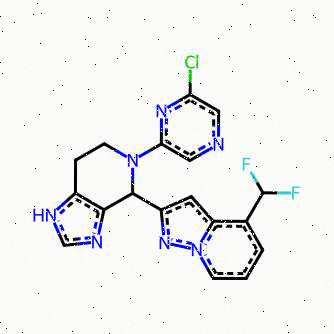 FC(F)c1cccn2nc(C3c4nc[nH]c4CCN3c3cncc(Cl)n3)cc12